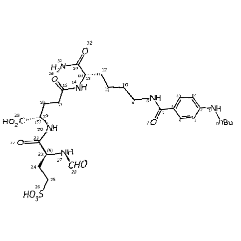 CCCCNc1ccc(C(=O)NCCCC[C@H](NC(=O)CC[C@H](NC(=O)[C@H](CCS(=O)(=O)O)NC=O)C(=O)O)C(N)=O)cc1